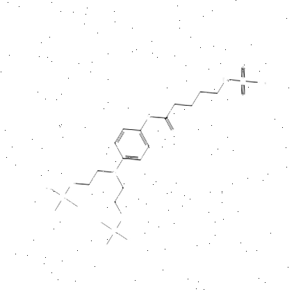 CC(C)(C)[Si](C)(C)OCCN(CCO[Si](C)(C)C(C)(C)C)c1ccc(NC(=O)CCCCNS(=O)(=O)C(C)(C)C)cc1